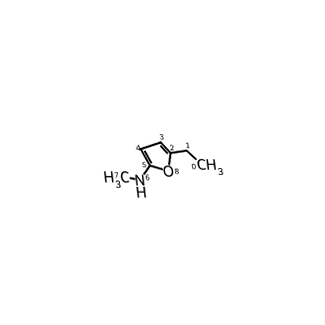 CCc1ccc(NC)o1